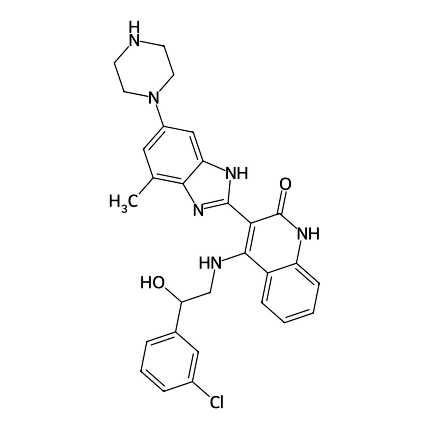 Cc1cc(N2CCNCC2)cc2[nH]c(-c3c(NCC(O)c4cccc(Cl)c4)c4ccccc4[nH]c3=O)nc12